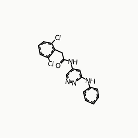 O=C(Cc1c(Cl)cccc1Cl)Nc1cnnc(Nc2ccccc2)c1